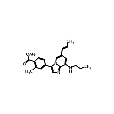 CC=Cc1cc(NCCC(F)(F)F)c2ncc(-c3ccc(C(=O)OC)c(C)c3)n2c1